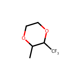 CC1OCCOC1C(F)(F)F